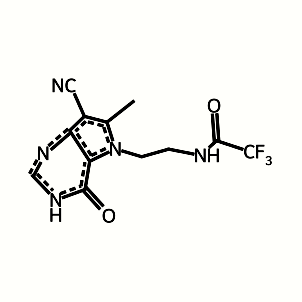 Cc1c(C#N)c2nc[nH]c(=O)c2n1CCNC(=O)C(F)(F)F